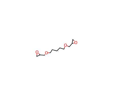 [CH](CCOCC1CO1)CCOCC1CO1